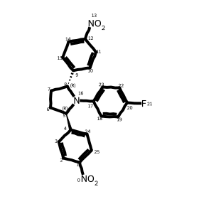 O=[N+]([O-])c1ccc([C@H]2CC[C@H](c3ccc([N+](=O)[O-])cc3)N2c2ccc(F)cc2)cc1